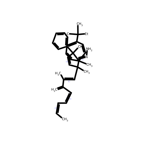 C=C(/C=C\C=C/C)/C(C)=C/C(C)(/C=C\C(C)(/C=N\N)c1ccccc1)C1(C)C=CC=C(C(C)(C)CC)C=C1